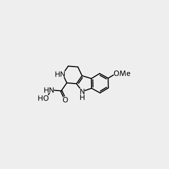 COc1ccc2[nH]c3c(c2c1)CCNC3C(=O)NO